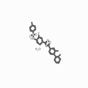 Cc1ccc(S(=O)(=O)Nc2ccc(-c3noc(-c4ccc(-c5ccccc5C)c(C)c4)n3)cc2F)cc1.O